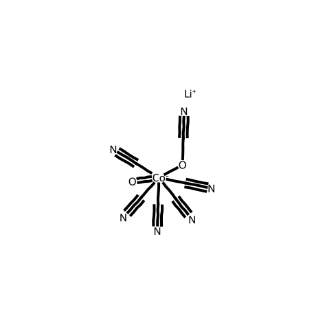 N#C[O][Co-](=[O])([C]#N)([C]#N)([C]#N)([C]#N)[C]#N.[Li+]